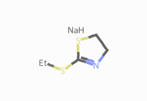 CCSC1=NCCS1.[NaH]